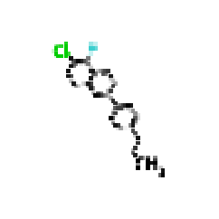 CCCc1ccc(-c2ccc3c(F)c(Cl)ccc3c2)cc1